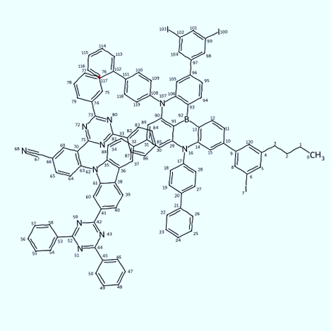 CCCCc1cc(I)cc(-c2ccc3c(c2)N(c2ccc(-c4ccccc4)cc2)c2cc(-c4ccc5c(c4)c4ccc(-c6nc(-c7ccccc7)nc(-c7ccccc7)n6)cc4n5-c4ccc(C#N)cc4-c4nc(-c5ccccc5)nc(-c5ccccc5)n4)cc4c2B3c2ccc(-c3cc(I)cc(I)c3)cc2N4c2ccc(-c3ccccc3)cc2)c1